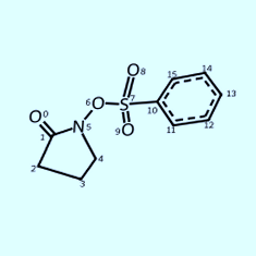 O=C1CCCN1OS(=O)(=O)c1ccccc1